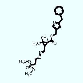 COP(=O)(CCON=CC1C(C(=O)OCc2coc(Cc3ccccc3)c2)C1(C)C)OC